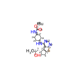 CC(O)C[C@H]1CCc2sc3ncnc(N[C@H]4CC[C@H](NC(=O)OC(C)(C)C)CC4)c3c21